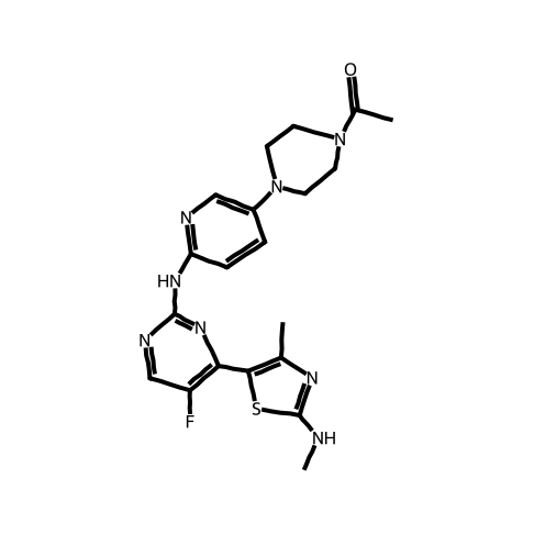 CNc1nc(C)c(-c2nc(Nc3ccc(N4CCN(C(C)=O)CC4)cn3)ncc2F)s1